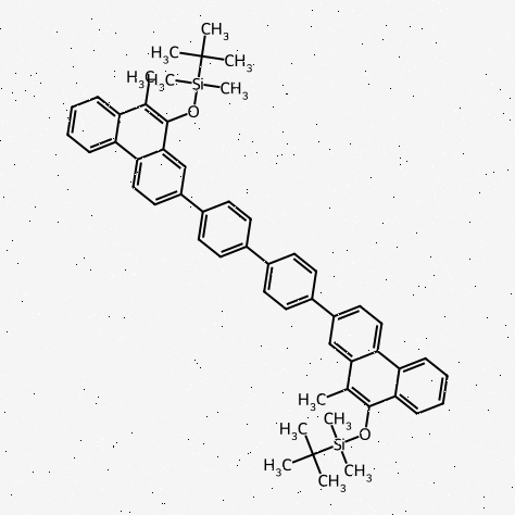 Cc1c(O[Si](C)(C)C(C)(C)C)c2ccccc2c2ccc(-c3ccc(-c4ccc(-c5ccc6c(c5)c(O[Si](C)(C)C(C)(C)C)c(C)c5ccccc56)cc4)cc3)cc12